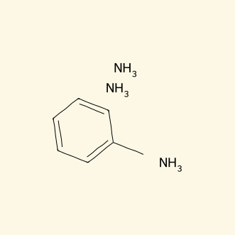 Cc1ccccc1.N.N.N